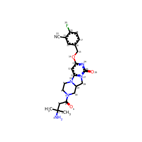 CC(C)(N)CC(=O)N1CCN2c3cc(OCc4ccc(F)c(C#N)c4)nc(=O)n3CC2C1